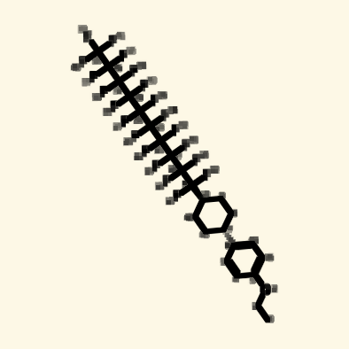 CCOc1ccc([C@H]2CC[C@H](C(F)(F)C(F)(F)C(F)(F)C(F)(F)C(F)(F)C(F)(F)C(F)(F)C(F)(F)C(F)(F)C(F)(F)F)CC2)cc1